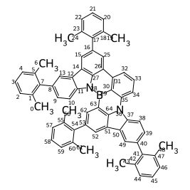 Cc1cccc(C)c1-c1ccc2c(c1)c1cc(-c3c(C)cccc3C)cc3c1n2B1c2c-3cccc2-n2c3ccc(-c4c(C)cccc4C)cc3c3cc(-c4c(C)cccc4C)cc1c32